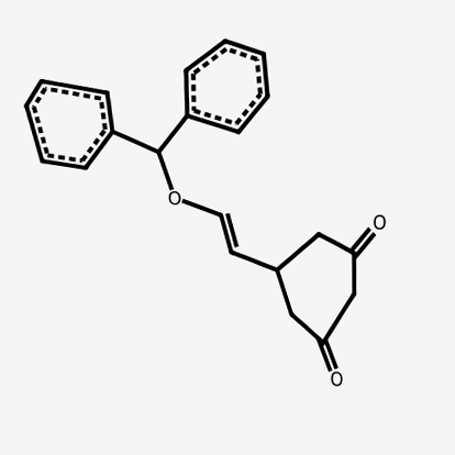 O=C1CC(=O)CC(/C=C/OC(c2ccccc2)c2ccccc2)C1